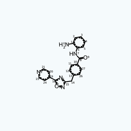 Nc1ccccc1NC(=O)c1ccc(Cc2noc(-c3ccncc3)n2)cc1